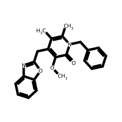 COc1c(Cc2nc3ccccc3o2)c(C)c(C)n(Cc2ccccc2)c1=O